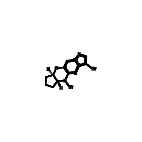 CC(C)c1cnn2cc3c(nc12)N(C(C)C)[C@@H]1CCC[C@H]1O3